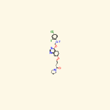 O=C(CCCOc1ccc2c(OCNc3ccc(Cl)cc3F)ncnc2c1)N1CCCC1